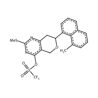 CSc1nc2c(c(OS(=O)(=O)C(F)(F)F)n1)COC(c1cccc3cccc(C)c13)C2